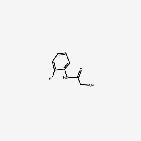 CCc1ccccc1NC(=O)CC#N